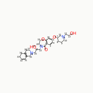 O=C1c2ccc(OC3CCCN(CCO)C3)cc2OCCN1CC(O)CN1CCC2=C(C=CCC2)C1